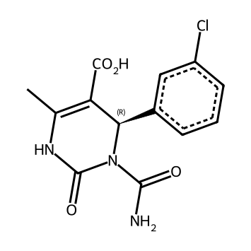 CC1=C(C(=O)O)[C@@H](c2cccc(Cl)c2)N(C(N)=O)C(=O)N1